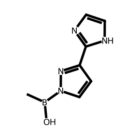 CB(O)n1ccc(-c2ncc[nH]2)n1